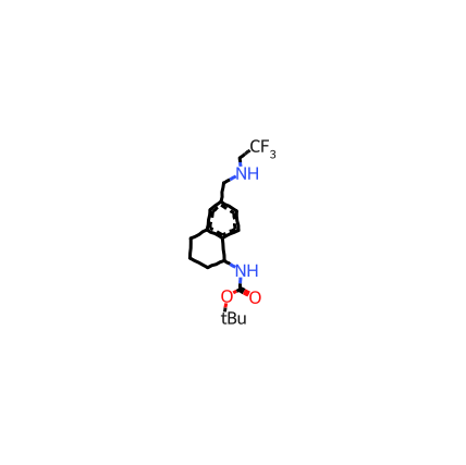 CC(C)(C)OC(=O)NC1CCCc2cc(CNCC(F)(F)F)ccc21